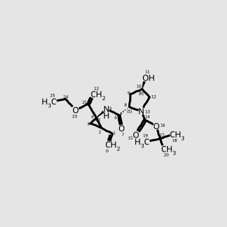 C=CC1C[C@]1(NC(=O)[C@@H]1C[C@@H](O)CN1C(=O)OC(C)(C)C)C(=C)OCC